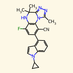 Cc1nnc2n1-c1c(C#N)c(-c3cccc4c3ccn4C3CC3)cc(F)c1NC2(C)C